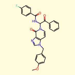 COc1ccc(Cn2cnc3c(=O)n(C(NC(=O)c4ccc(F)cc4)C(=O)c4ccccc4)ccc32)cc1